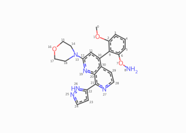 COc1cccc(ON)c1-c1cc(N2CCOCC2)nc2c(-c3ccn[nH]3)nccc12